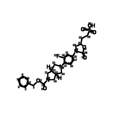 O=C(OCc1ccccc1)N1C[C@@H]2CN(c3ccc(N4C[C@@H](CCS(=O)(=O)O)OC4=O)cc3F)C[C@@H]2C1